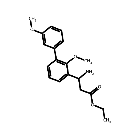 CCOC(=O)CC(N)c1cccc(-c2cccc(OC)c2)c1OC